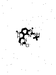 CNc1ccc2c(nc(NC(C)(C)C)n2C)c1-c1ccnc(Cl)n1